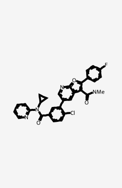 CNC(=O)c1c(-c2ccc(F)cc2)oc2ncc(-c3cc(C(=O)N(c4ccccn4)C4CC4)ccc3Cl)cc12